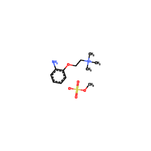 COS(=O)(=O)[O-].C[N+](C)(C)CCOc1ccccc1N